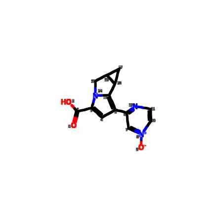 O=C(O)c1cc(-c2c[n+]([O-])ccn2)c2n1CC1CC21